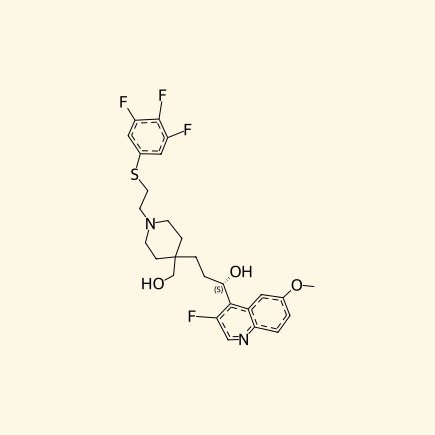 COc1ccc2ncc(F)c([C@@H](O)CCC3(CO)CCN(CCSc4cc(F)c(F)c(F)c4)CC3)c2c1